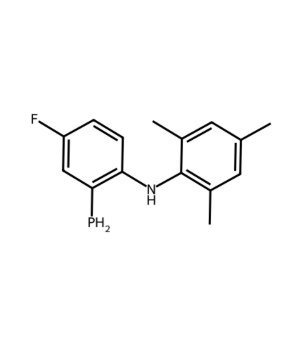 Cc1cc(C)c(Nc2ccc(F)cc2P)c(C)c1